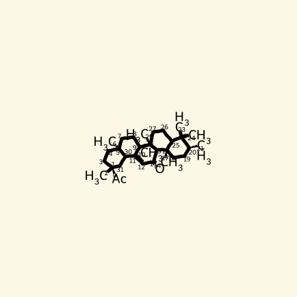 CC(=O)[C@@]1(C)CC[C@]2(C)CC[C@]3(C)C(=CC(=O)C4[C@@]5(C)CC[C@H](C)C(C)(C)C5CC[C@]43C)C2C1